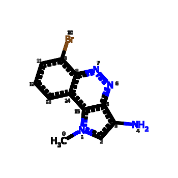 Cn1cc(N)c2nnc3c(Br)cccc3c21